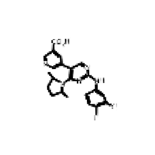 CC1CCC(C)N1c1nc(Nc2ccc(F)c(Cl)c2)ncc1-c1cncc(C(=O)O)c1